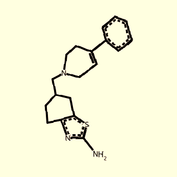 Nc1nc2c(s1)CC(CN1CC=C(c3ccccc3)CC1)CC2